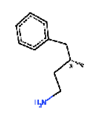 C[C@H](CCN)Cc1ccccc1